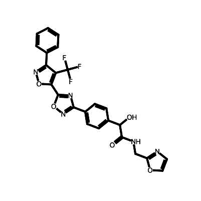 O=C(NCc1ncco1)C(O)c1ccc(-c2noc(-c3onc(-c4ccccc4)c3C(F)(F)F)n2)cc1